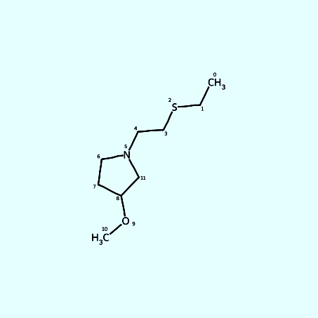 CCSCCN1CCC(OC)C1